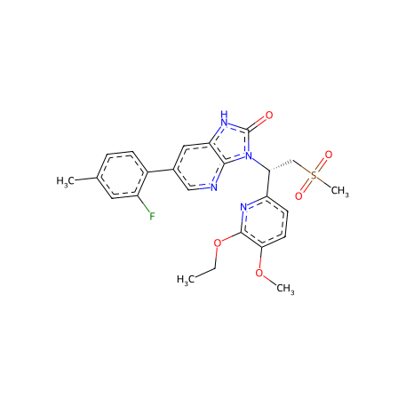 CCOc1nc([C@@H](CS(C)(=O)=O)n2c(=O)[nH]c3cc(-c4ccc(C)cc4F)cnc32)ccc1OC